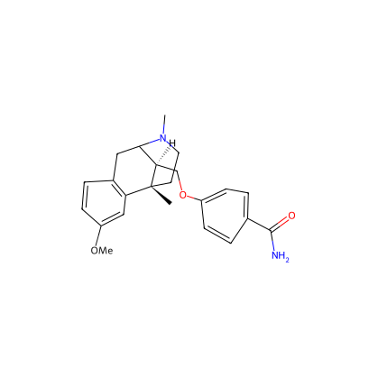 COc1ccc2c(c1)[C@@]1(C)CCN(C)C(C2)[C@H]1COc1ccc(C(N)=O)cc1